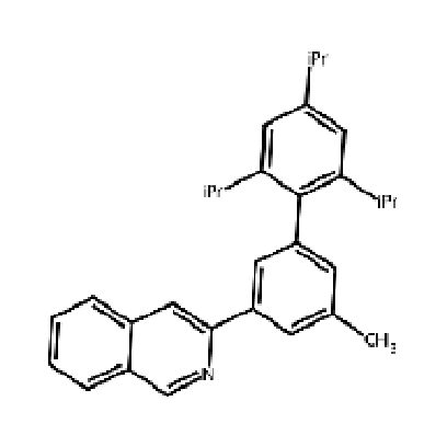 Cc1cc(-c2cc3ccccc3cn2)cc(-c2c(C(C)C)cc(C(C)C)cc2C(C)C)c1